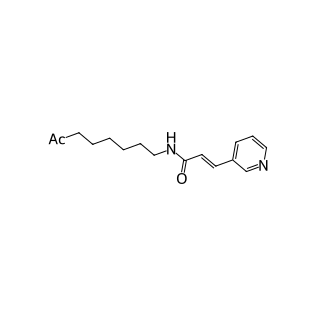 CC(=O)CCCCCCNC(=O)/C=C/c1cccnc1